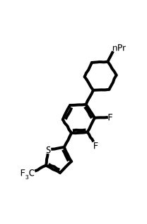 CCCC1CCC(c2ccc(-c3ccc(C(F)(F)F)s3)c(F)c2F)CC1